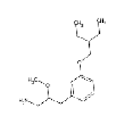 CCC(CC)COc1cccc(CC(CN)OC)c1